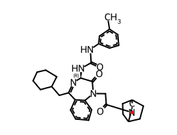 Cc1cccc(NC(=O)N[C@@H]2N=C(CC3CCCCC3)c3ccccc3N(CC(=O)N3CC4CCC(CC4)C3)C2=O)c1